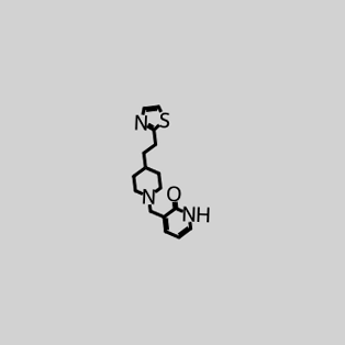 O=c1[nH]cccc1CN1CCC(CCc2nccs2)CC1